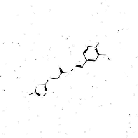 COc1cc(C=NNC(=O)CSc2nnc(C)s2)ccc1O